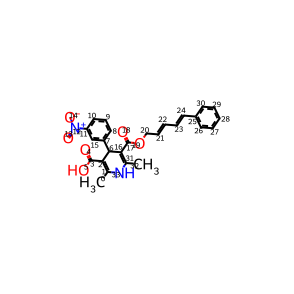 CC1=C(C(=O)O)C(c2cccc([N+](=O)[O-])c2)C(C(=O)OCC=CC=Cc2ccccc2)=C(C)N1